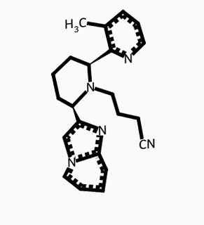 Cc1cccnc1[C@@H]1CCC[C@H](c2cn3ccccc3n2)N1CCCC#N